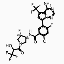 Nc1ncnn2c(-c3cc(C(=O)N[C@@H]4CN(C(=O)C(O)C(F)(F)F)C[C@@H]4F)c(Cl)cc3F)cc(C(F)(F)F)c12